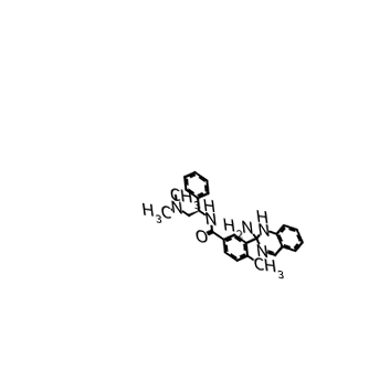 Cc1ccc(C(=O)N[C@@H](CN(C)C)c2ccccc2)cc1C1(N)N=Cc2ccccc2N1